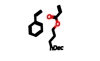 C=CC(=O)OCCCCCCCCCCCCC.C=Cc1ccccc1